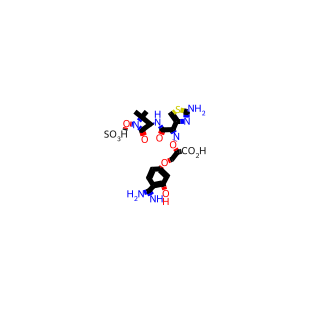 CC1(C)[C@H](NC(=O)/C(=N\OC(COc2ccc(C(=N)N)c(O)c2)C(=O)O)c2csc(N)n2)C(=O)N1OS(=O)(=O)O